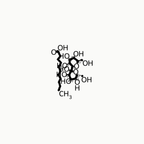 CCCCCCCCCCCC(=O)O.OC[C@H]1O[C@@H]([C@]2(O)O[C@H](CO)[C@@H](O)[C@H](O)[C@H]2O)[C@H](O)[C@@H](O)[C@H]1O